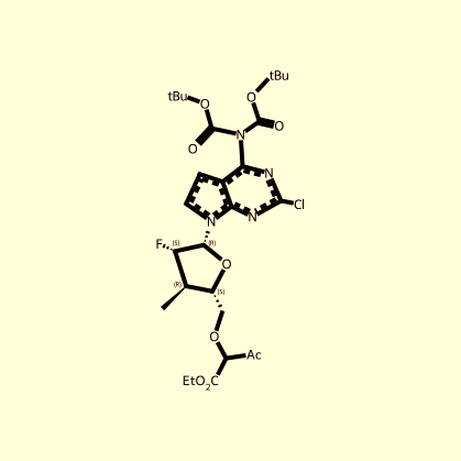 CCOC(=O)C(OC[C@H]1O[C@@H](n2ccc3c(N(C(=O)OC(C)(C)C)C(=O)OC(C)(C)C)nc(Cl)nc32)[C@@H](F)[C@@H]1C)C(C)=O